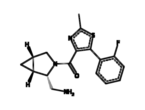 Cc1nc(C(=O)N2C[C@H]3C[C@H]3[C@H]2CN)c(-c2ccccc2F)s1